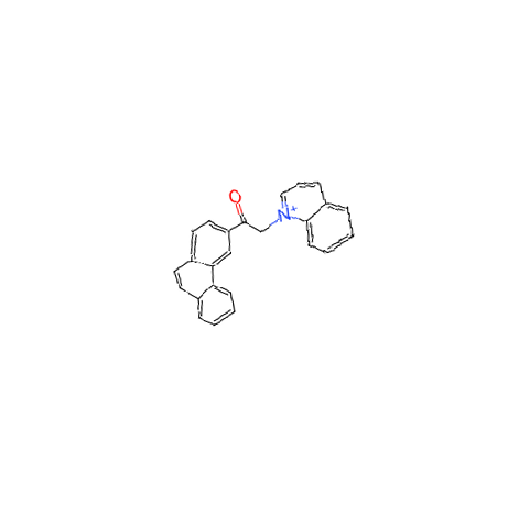 O=C(C[n+]1cccc2ccccc21)c1ccc2ccc3ccccc3c2c1